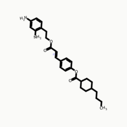 CCCCC1CCC(C(=O)Oc2ccc(/C=C/C(=O)OCCc3ccc(N)cc3N)cc2)CC1